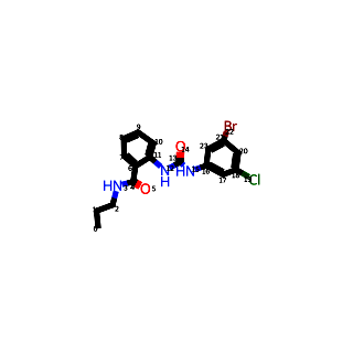 CCCNC(=O)c1ccccc1NC(=O)Nc1cc(Cl)cc(Br)c1